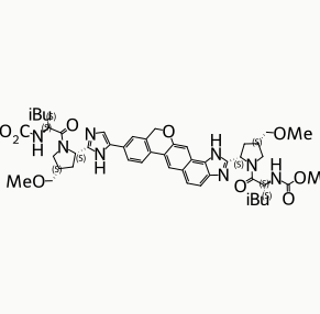 CC[C@H](C)[C@H](NC(=O)O)C(=O)N1C[C@@H](COC)C[C@H]1c1ncc(-c2ccc3c(c2)COc2cc4c(ccc5nc([C@@H]6C[C@H](COC)CN6C(=O)[C@@H](NC(=O)OC)[C@@H](C)CC)[nH]c54)cc2-3)[nH]1